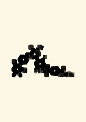 Cc1cc(=O)n(-c2ccc(C[C@H](NC(=O)c3cc(F)c(NS(=O)(=O)c4ccc(C(=O)NC(C)(C)C)cc4)cc3F)C(=O)OC(C)C)cc2)c(=O)n1C